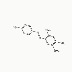 COc1cc(N=Nc2ccc(N)cc2)c(OC)cc1N